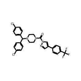 O=C(N1CCN(C(c2ccc(Cl)cc2)c2ccc(Cl)cc2)CC1)n1cc(-c2ccc(C(F)(F)F)cc2)cn1